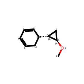 CO[C@@H]1C[C@H]1C1C=CC=CC1